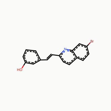 Oc1cccc(/C=C/c2ccc3ccc(Br)cc3n2)c1